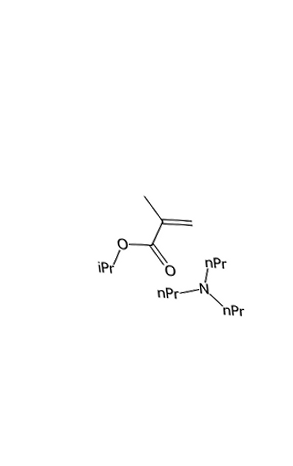 C=C(C)C(=O)OC(C)C.CCCN(CCC)CCC